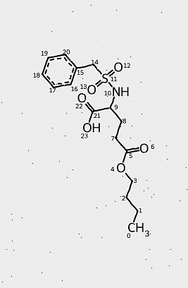 CCCCOC(=O)CCC(NS(=O)(=O)Cc1ccccc1)C(=O)O